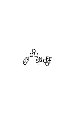 COc1ccc(-c2nc(C(C)OC(=O)C(F)(F)F)c(C)s2)cc1OCCN1CCOCC1